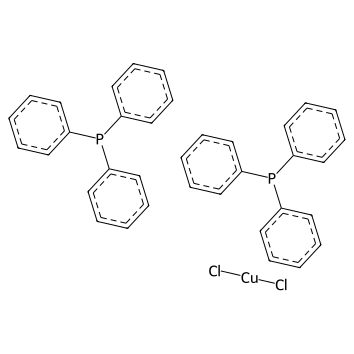 [Cl][Cu][Cl].c1ccc(P(c2ccccc2)c2ccccc2)cc1.c1ccc(P(c2ccccc2)c2ccccc2)cc1